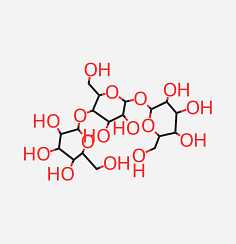 OCC1OC(OC2OC(CO)C(OC3OC(CO)C(O)C(O)C3O)C(O)C2O)C(O)C(O)C1O